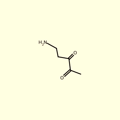 CC(=O)C(=O)CCN